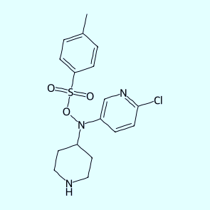 Cc1ccc(S(=O)(=O)ON(c2ccc(Cl)nc2)C2CCNCC2)cc1